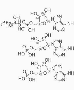 Nc1ncnc2c1ncn2[C@@H]1O[C@H](COP(=O)(O)O)[C@@H](O)[C@H]1O.Nc1ncnc2c1ncn2[C@@H]1O[C@H](COP(=O)(O)O)[C@@H](O)[C@H]1O.Nc1ncnc2c1ncn2[C@@H]1O[C@H](COP(=O)(O)O)[C@@H](O)[C@H]1O.OB(O)O.P.P